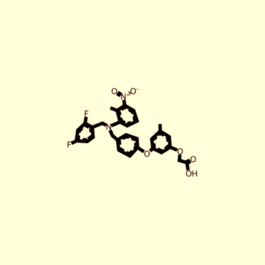 Cc1cc(OCC(=O)O)cc(Oc2ccc(CN(Cc3ccc(F)cc3F)c3cccc([N+](=O)[O-])c3C)cc2)c1